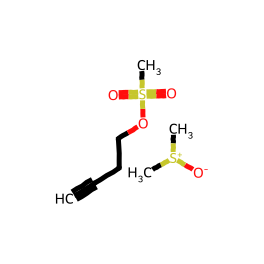 C#CCCOS(C)(=O)=O.C[S+](C)[O-]